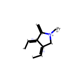 C=C1C(=C/C)/C(=C\C)CN1C(C)C